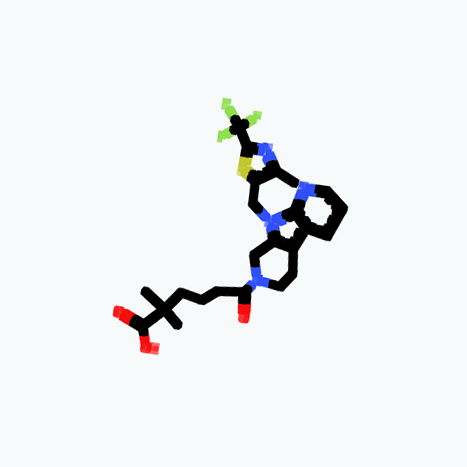 Cc1nc(C(F)(F)F)sc1Cn1c2c(c3cccnc31)CCN(C(=O)CCCC(C)(C)C(=O)O)C2